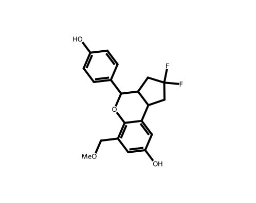 COCc1cc(O)cc2c1OC(c1ccc(O)cc1)C1CC(F)(F)CC21